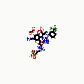 COC(=O)C1=C(C)N(c2cccc(C(F)(F)F)c2)c2n[nH]c(=O)n2C1c1ccc(C#N)cc1CCC[N+](C)(C)CCCS(C)(=O)=O.O=C[O-]